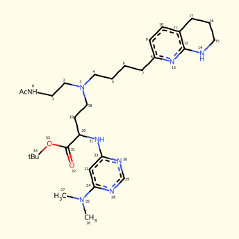 CC(=O)NCCN(CCCCc1ccc2c(n1)NCCC2)CCC(Nc1cc(N(C)C)ncn1)C(=O)OC(C)(C)C